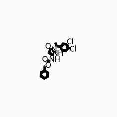 CC(c1ccc(Cl)c(Cl)c1)n1[nH]c(NC(=O)OCc2ccccc2)cc1=O